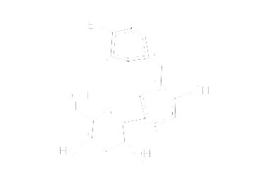 CCc1ccc(Cc2cc(C3OC(CO)C(O)CC3O)ccc2C)cc1